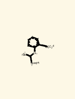 CCCCCCCC(CCCC)Oc1ccccc1C(=O)O